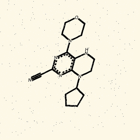 N#Cc1nc(N2CCOCC2)c2c(n1)N(C1CCCC1)CCN2